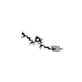 C=CC(=O)OCCCOC(=O)NC1CC(C)(C)CC(C)(CNC(=O)SCCC[Si](OC)(OC)OC)C1